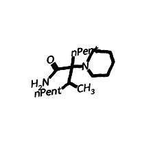 CCCCCC(C)C(CCCCC)(C(N)=O)N1CCCCC1